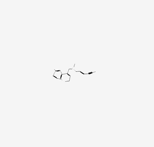 CN(CC=CC#CC(C)(C)C)CC1=CCOc2ccc(F)cc21